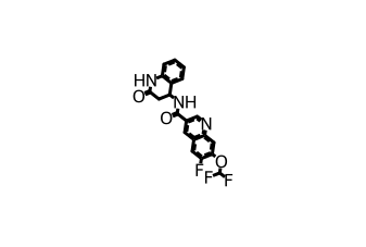 O=C1CC(NC(=O)c2cnc3cc(OC(F)F)c(F)cc3c2)c2ccccc2N1